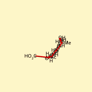 CN[C@@H](CCCCNC(=O)COCCOCCNC(=O)COCCOCCNC(=O)CCC(NC(=O)C1CCC(CNC(=O)CCCCCCCCCCCCCCCCCCC(=O)O)CC1)C(C)=O)C(=O)CN[C@@H](Cc1ccc(O)cc1)C(N)=O